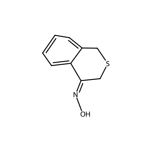 O/N=C1\CSCc2ccccc21